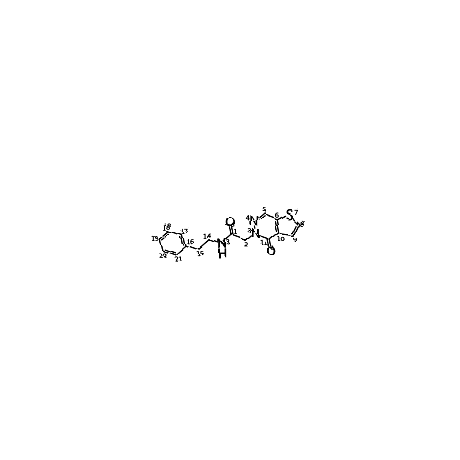 O=C(Cn1ncc2sccc2c1=O)NCCc1ccccc1